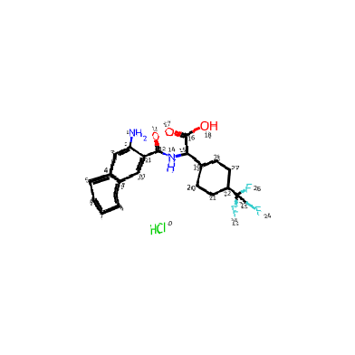 Cl.Nc1cc2ccccc2cc1C(=O)NC(C(=O)O)C1CCC(C(F)(F)F)CC1